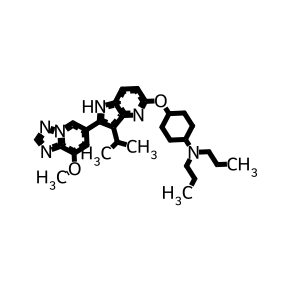 CCCN(CCC)C1CCC(Oc2ccc3[nH]c(-c4cc(OC)c5ncnn5c4)c(C(C)C)c3n2)CC1